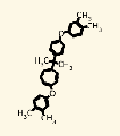 Cc1ccc(OC2=CCC=C(C(C)(C)c3ccc(Oc4ccc(C)c(C)c4)cc3)C=C2)cc1C